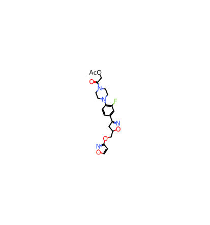 CC(=O)OCC(=O)N1CCN(c2ccc(C3=NOC(COc4ccon4)C3)cc2F)CC1